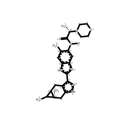 CCN(C(=O)[C@H](C)N1CCOCC1)c1cc2nc(-c3n[nH]c4c3CC3C(C)[C@]3(C)C4)[nH]c2cc1C